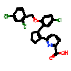 O=C(O)c1cccc(C2=C(c3cc(Cl)ccc3OCc3ccc(Cl)cc3Cl)CCC2)n1